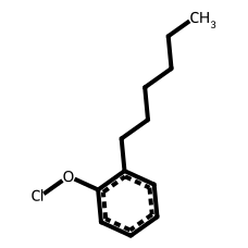 CCCCCCc1ccccc1OCl